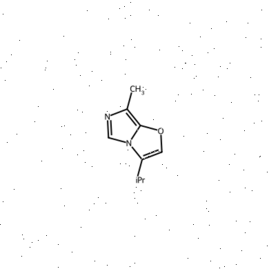 Cc1ncn2c(C(C)C)coc12